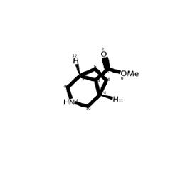 COC(=O)C1[C@@H]2CC[C@H]1CNC2